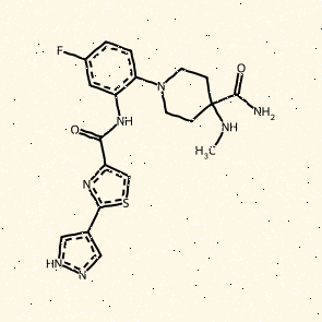 CNC1(C(N)=O)CCN(c2ccc(F)cc2NC(=O)c2csc(-c3cn[nH]c3)n2)CC1